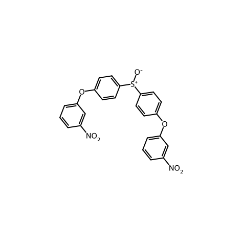 O=[N+]([O-])c1cccc(Oc2ccc([S+]([O-])c3ccc(Oc4cccc([N+](=O)[O-])c4)cc3)cc2)c1